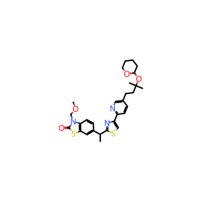 COCn1c(=O)sc2cc(C(C)c3nc(-c4ccc(CCC(C)(C)OC5CCCCO5)cn4)cs3)ccc21